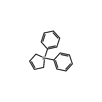 C1=CC[Si](c2ccccc2)(c2ccccc2)C1